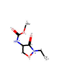 CC(C)(C)OC(=O)NC1CON(CC(F)(F)F)C1=O